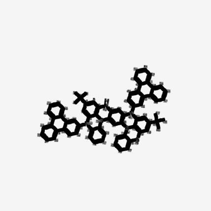 CC(C)(C)c1cc2c3c(c1)N(c1ccc4c5ccccc5c5ccccc5c4c1)c1ccccc1B3c1cc3c(cc1N2)N(c1ccc2c4ccccc4c4ccccc4c2c1)c1cc(C(C)(C)C)cc2c1B3c1ccccc1S2